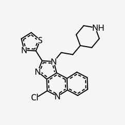 Clc1nc2ccccc2c2c1nc(-c1nccs1)n2CCC1CCNCC1